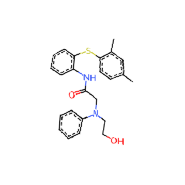 Cc1ccc(Sc2ccccc2NC(=O)CN(CCO)c2ccccc2)c(C)c1